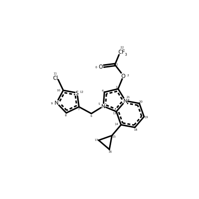 O=C(Oc1cn(Cc2cnc(Cl)s2)c2c(C3CC3)ccc[n+]12)C(F)(F)F